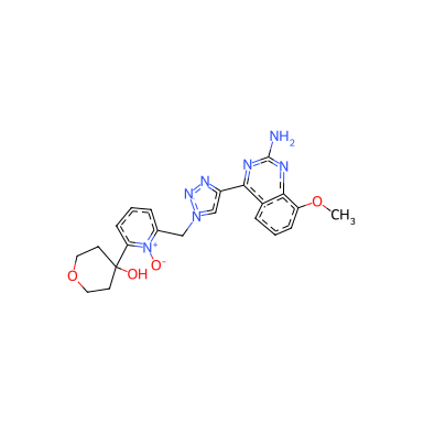 COc1cccc2c(-c3cn(Cc4cccc(C5(O)CCOCC5)[n+]4[O-])nn3)nc(N)nc12